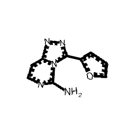 Nc1nccc2nnc(-c3ccco3)n12